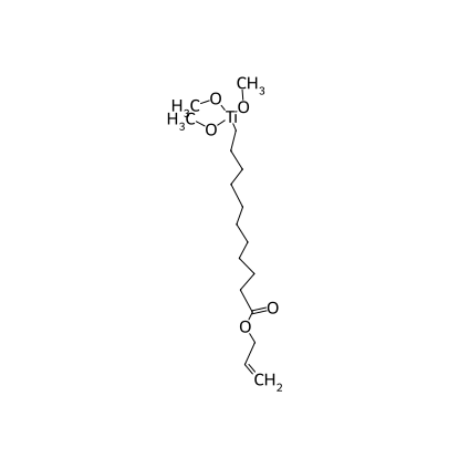 C=CCOC(=O)CCCCCCCCC[CH2][Ti]([O]C)([O]C)[O]C